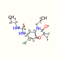 C#CCN1C(=O)C2(CC2)Oc2cc(F)c(NC(=S)NCCC)cc21